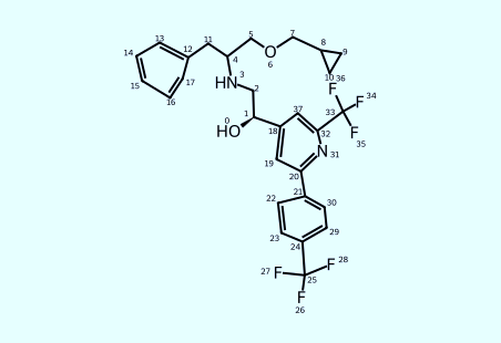 O[C@@H](CNC(COCC1CC1)Cc1ccccc1)c1cc(-c2ccc(C(F)(F)F)cc2)nc(C(F)(F)F)c1